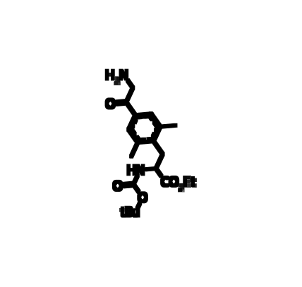 CCOC(=O)C(Cc1c(C)cc(C(=O)CN)cc1C)NC(=O)OC(C)(C)C